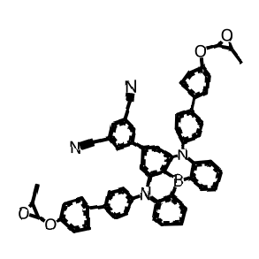 CC1OC1Oc1ccc(-c2ccc(N3c4ccccc4B4c5ccccc5N(c5ccc(-c6ccc(OC7OC7C)cc6)cc5)c5cc(-c6cc(C#N)cc(C#N)c6)cc3c54)cc2)cc1